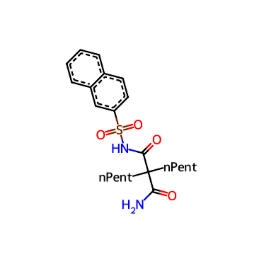 CCCCCC(CCCCC)(C(N)=O)C(=O)NS(=O)(=O)c1ccc2ccccc2c1